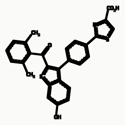 Cc1cccc(C)c1C(=O)c1sc2cc(O)ccc2c1-c1ccc(-c2nc(C(=O)O)cs2)cc1